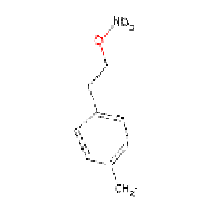 [CH2]c1ccc(CCO[N+](=O)[O-])cc1